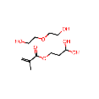 C=C(C)C(=O)OCCC(O)O.OCCOCCO